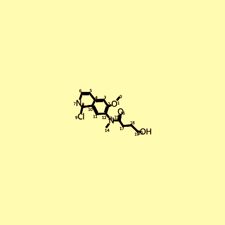 COc1cc2ccnc(Cl)c2cc1N(C)C(=O)CCCO